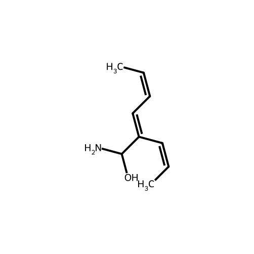 C\C=C/C=C(\C=C/C)C(N)O